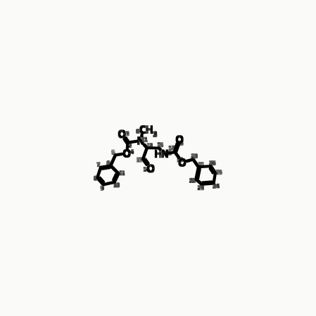 CN(C(=O)OCc1ccccc1)C(C=O)CNC(=O)OCc1ccccc1